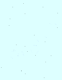 CC(=O)NC1CCN(Cc2coc3cc(Oc4nc5ncc(Cl)cc5s4)ccc23)CC1